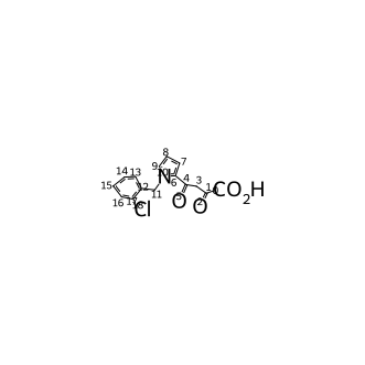 O=C(O)C(=O)CC(=O)c1cccn1Cc1ccccc1Cl